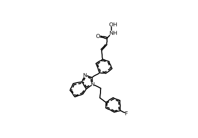 O=C(C=Cc1cccc(-c2nc3ccccc3n2CCc2ccc(F)cc2)c1)NO